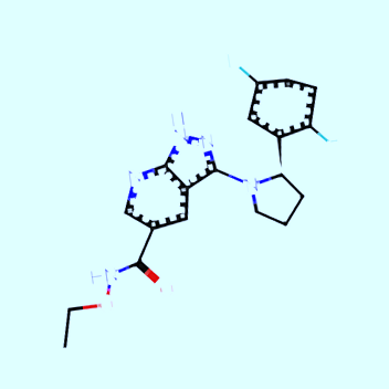 CCONC(=O)c1cnc2[nH]nc(N3CCC[C@@H]3c3cc(F)ccc3F)c2c1